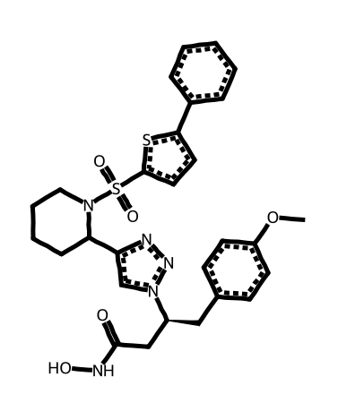 COc1ccc(C[C@@H](CC(=O)NO)n2cc(C3CCCCN3S(=O)(=O)c3ccc(-c4ccccc4)s3)nn2)cc1